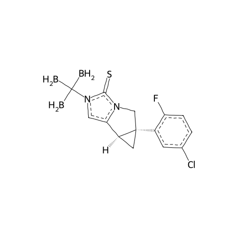 BC(B)(B)n1cc2n(c1=S)C[C@@]1(c3cc(Cl)ccc3F)C[C@@H]21